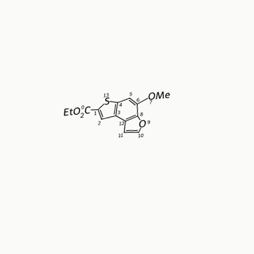 CCOC(=O)c1cc2c(cc(OC)c3occc32)s1